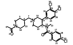 CC(=O)N1CCC(CN2CCC(N(C)C(=O)c3ccc(Cl)cc3)C(c3ccc(Cl)c(Cl)c3)C2)CC1